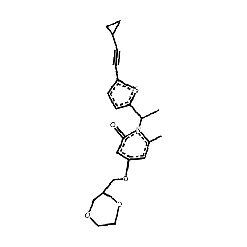 Cc1cc(OCC2COCCO2)cc(=O)n1C(C)c1ccc(C#CC2CC2)s1